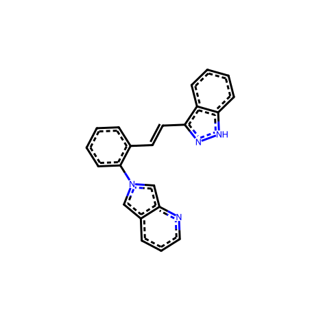 C(=Cc1n[nH]c2ccccc12)c1ccccc1-n1cc2cccnc2c1